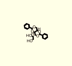 OCC(O)[C@H]1OC(c2ccccc2)O[C@H]2COC(c3ccccc3)O[C@H]21